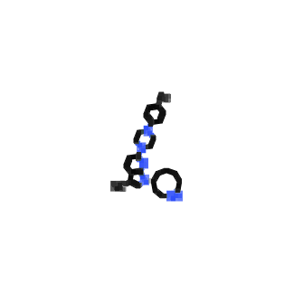 CC(=O)c1ccc(N2CCN(c3ccc4c(C#N)cn([C@@H]5CCCCCNCC5)c4n3)CC2)cc1